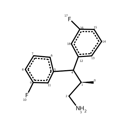 C[C@@H](CN)C(c1cccc(F)c1)c1cccc(F)c1